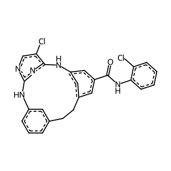 O=C(Nc1ccccc1Cl)c1cc2cc(c1)Nc1nc(ncc1Cl)Nc1cccc(c1)CC2